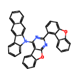 c1ccc2cc3c(cc2c1)c1ccccc1n3-c1nc(-c2cccc3oc4ccccc4c23)nc2oc3ccccc3c12